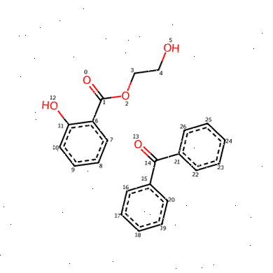 O=C(OCCO)c1ccccc1O.O=C(c1ccccc1)c1ccccc1